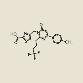 Cc1ccc(-c2cc(=O)n(Cc3csc(C(=O)O)n3)c(CCCC(F)(F)F)n2)cc1